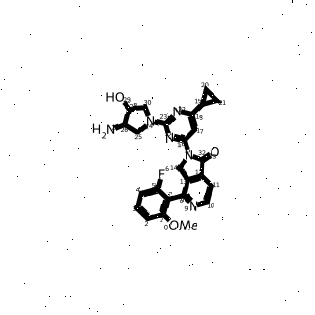 COc1cccc(F)c1-c1nccc2c1CN(c1cc(C3CC3)nc(N3CC(N)C(O)C3)n1)C2=O